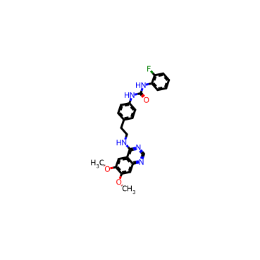 COc1cc2ncnc(NCCc3ccc(NC(=O)Nc4ccccc4F)cc3)c2cc1OC